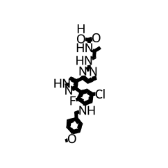 COc1ccc(CNc2cc(Cl)cc(-c3n[nH]cc3-c3ccnc(NCC(C)NC(=O)O)n3)c2F)cc1